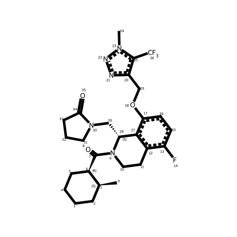 C[C@H]1CCCC[C@H]1C(=O)N1CCc2c(F)ccc(OCc3nnn(C)c3C(F)(F)F)c2[C@H]1CN1CCCC1=O